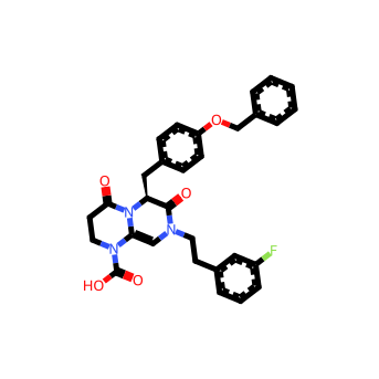 O=C1[C@H](Cc2ccc(OCc3ccccc3)cc2)N2C(=O)CCN(C(=O)O)C2=CN1CCc1cccc(F)c1